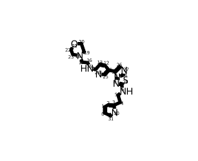 c1ccc(CCNc2nn3c(-c4ccc(NCCN5CCOCC5)nc4)cnc3s2)nc1